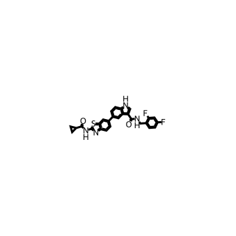 O=C(NCc1ccc(F)cc1F)c1c[nH]c2ccc(-c3ccc4nc(NC(=O)C5CC5)sc4c3)cc12